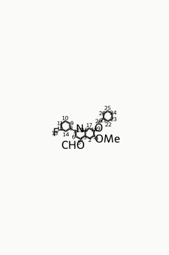 COc1cc2c(C=O)cc(-c3cccc(F)c3)nc2cc1OCc1ccccc1